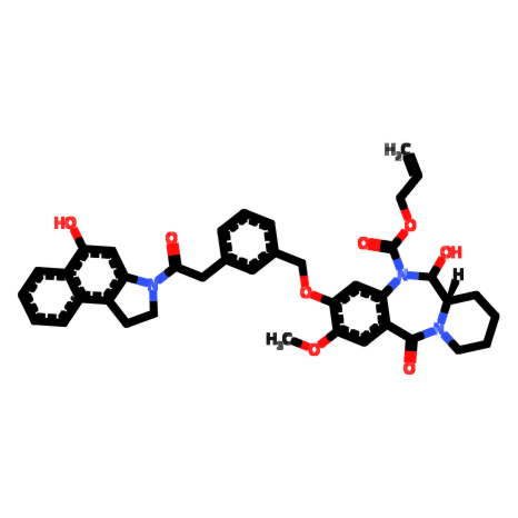 C=CCOC(=O)N1c2cc(OCc3cccc(CC(=O)N4CCc5c4cc(O)c4ccccc54)c3)c(OC)cc2C(=O)N2CCCC[C@H]2C1O